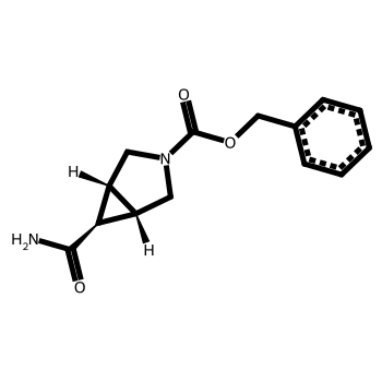 NC(=O)[C@H]1[C@@H]2CN(C(=O)OCc3ccccc3)C[C@@H]21